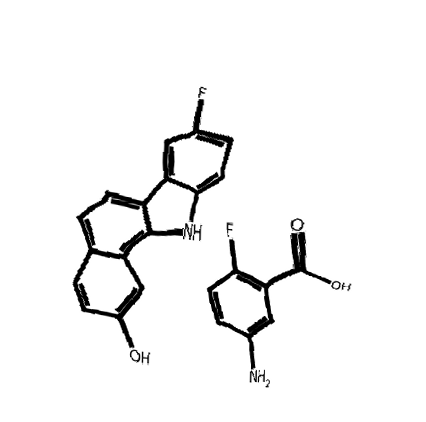 Nc1ccc(F)c(C(=O)O)c1.Oc1ccc2ccc3c4cc(F)ccc4[nH]c3c2c1